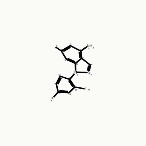 Cc1cc(N)c2cnn(-c3ccc(F)cc3F)c2c1